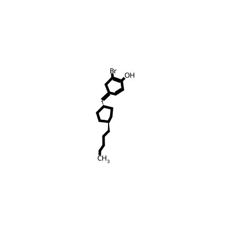 CCCCC[C@H]1CC[C@H](C=C2C=CC(O)=C(Br)C2)CC1